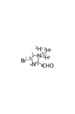 [2H]C([2H])([2H])n1cc(Br)nc1C=O